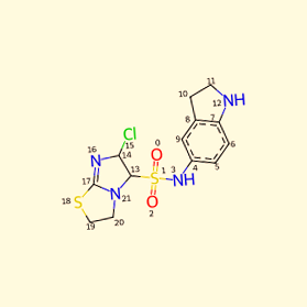 O=S(=O)(Nc1ccc2c(c1)CCN2)C1C(Cl)N=C2SCCN21